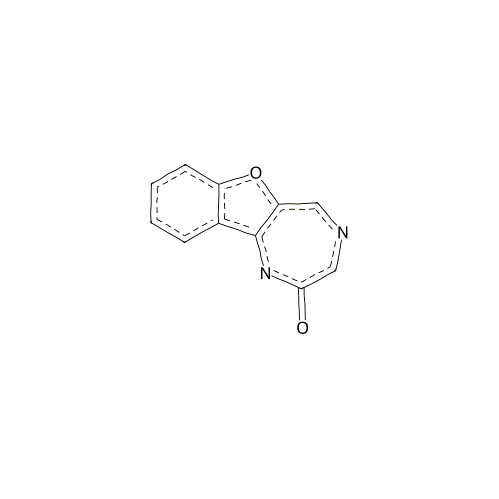 O=c1cncc2oc3ccccc3c2n1